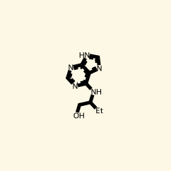 CCC(CO)Nc1ncnc2[nH]cnc12